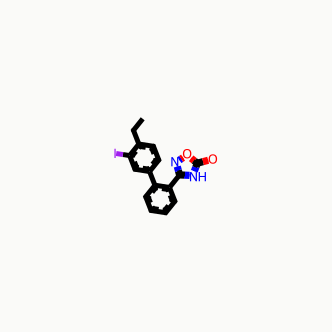 CCc1ccc(-c2ccccc2-c2noc(=O)[nH]2)cc1I